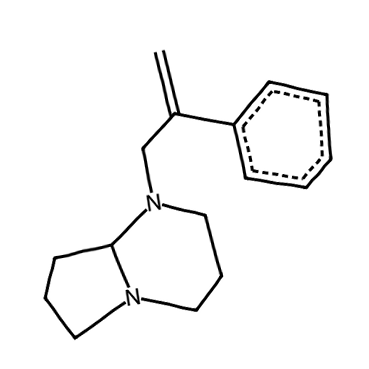 C=C(CN1CCCN2CCCC21)c1ccccc1